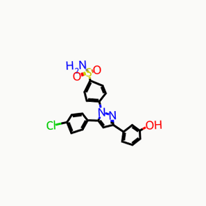 NS(=O)(=O)c1ccc(-n2nc(-c3cccc(O)c3)cc2-c2ccc(Cl)cc2)cc1